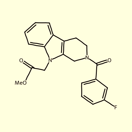 COC(=O)Cn1c2c(c3ccccc31)CCN(C(=O)c1cccc(F)c1)C2